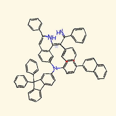 N=C(/C(=C1\NC(c2ccccc2)=Cc2ccc(N(c3ccc(-c4ccc5ccccc5c4)cc3)c3ccc4c(c3)C(c3ccccc3)(c3ccccc3)c3ccccc3-4)cc21)c1ccccc1)c1ccccc1